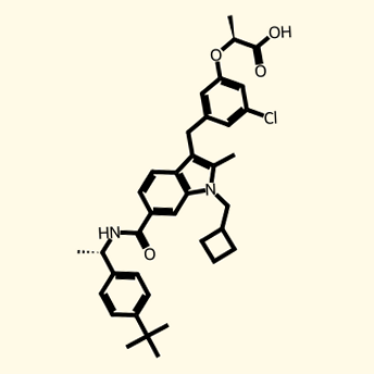 Cc1c(Cc2cc(Cl)cc(O[C@@H](C)C(=O)O)c2)c2ccc(C(=O)N[C@@H](C)c3ccc(C(C)(C)C)cc3)cc2n1CC1CCC1